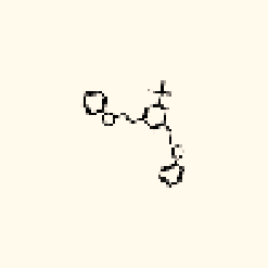 CC(C)(C)c1cc(CCOc2ccccc2)[c]c(CCOc2ccccc2)c1